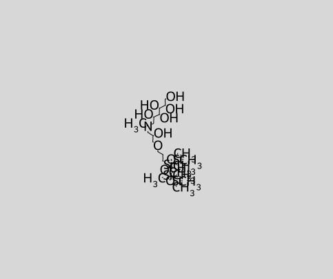 CN(CC(O)COCCC[Si](C)(O[Si](C)(C)C)O[Si](C)(C)O[Si](C)(C)C)CC(O)C(O)C(O)C(O)CO